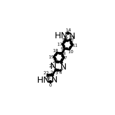 c1nc(-c2cnc3cc(-c4ccc5nc[nH]c5c4)ccc3n2)c[nH]1